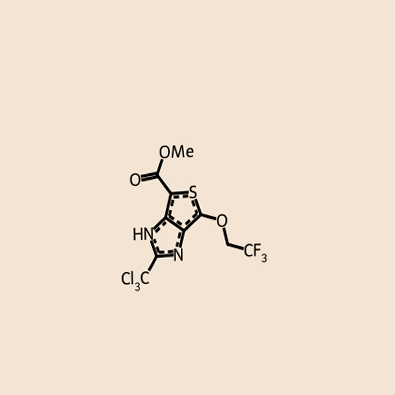 COC(=O)c1sc(OCC(F)(F)F)c2nc(C(Cl)(Cl)Cl)[nH]c12